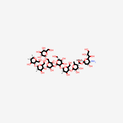 CC1OC(O[C@@H]2C(CO)O[C@@H](OC3C(O)[C@H](O)[C@@H](CO)O[C@@H]3OC3[C@H](O)C(CO[C@H]4OC(CO)[C@@H](O)C(O)[C@H]4O)O[C@@H](O[C@@H]4C(CO)O[C@@H](O[C@@H]5C(CO)O[C@@H](C)[C@@H](C)C5O)[C@@H](C)C4O)[C@@H]3O)[C@@H](C)C2O)[C@@H](O)[C@@H](O)[C@H]1C(O)O[C@]1(C(=O)O)C[C@@H](O)[C@@H](N)C(C(O)[C@H](O)CO)O1